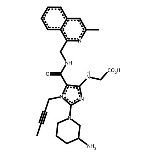 CC#CCn1c(N2CCCC(N)C2)nc(NCC(=O)O)c1C(=O)NCc1nc(C)cc2ccccc12